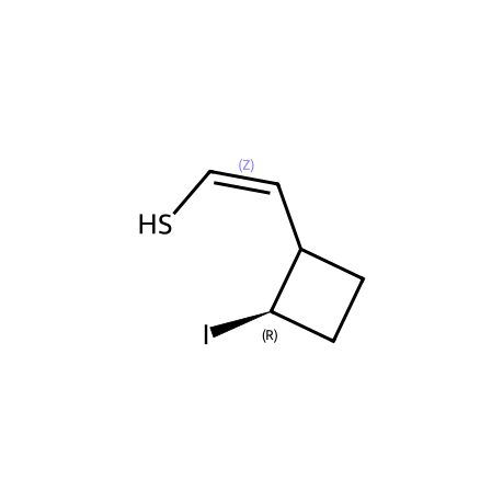 S/C=C\C1CC[C@H]1I